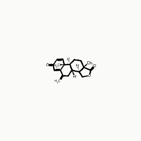 C=C1C[C@@H]2[C@H](CC[C@]3(C)C(=O)OC[C@@H]23)[C@@]2(C)C=CC(=O)C=C12